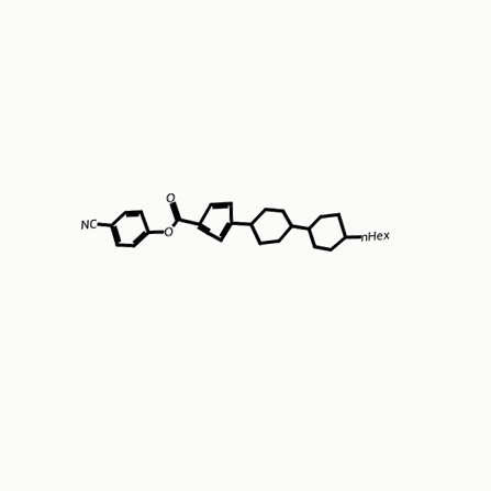 CCCCCCC1CCC(C2CCC(c3ccc(C(=O)Oc4ccc(C#N)cc4)cc3)CC2)CC1